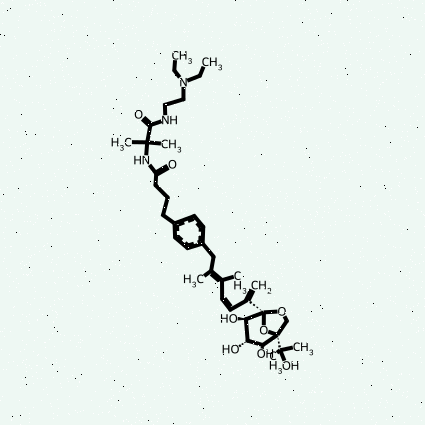 C=C(/C=C\C(C)=C(/C)Cc1ccc(CCCC(=O)NC(C)(C)C(=O)NCCN(CC)CC)cc1)[C@]12OC[C@](C(C)(C)O)(O1)[C@@H](O)[C@H](O)[C@H]2O